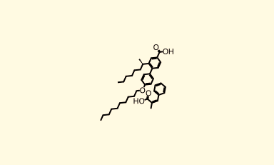 CC(=Cc1ccccc1)C(=O)O.CCCCCCCCCCOc1ccc(-c2ccc(C(=O)O)cc2[C@H](C)CCCCCC)cc1